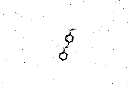 N=Nc1ccc(N=Nc2ccccc2)cc1